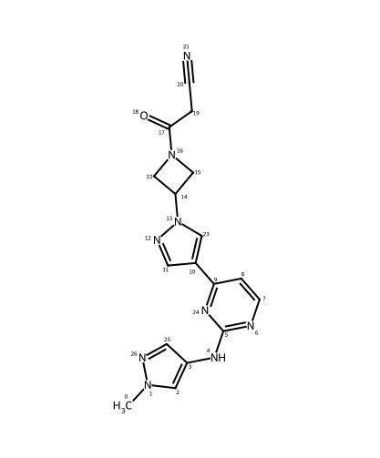 Cn1cc(Nc2nccc(-c3cnn(C4CN(C(=O)CC#N)C4)c3)n2)cn1